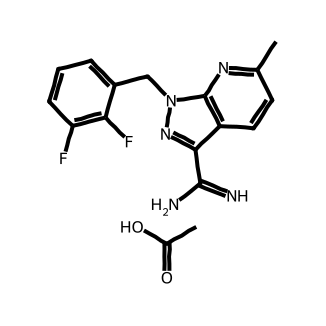 CC(=O)O.Cc1ccc2c(C(=N)N)nn(Cc3cccc(F)c3F)c2n1